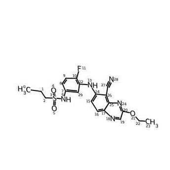 CCCS(=O)(=O)Nc1ccc(F)c(Nc2ccc3ncc(OCC)nc3c2C#N)c1